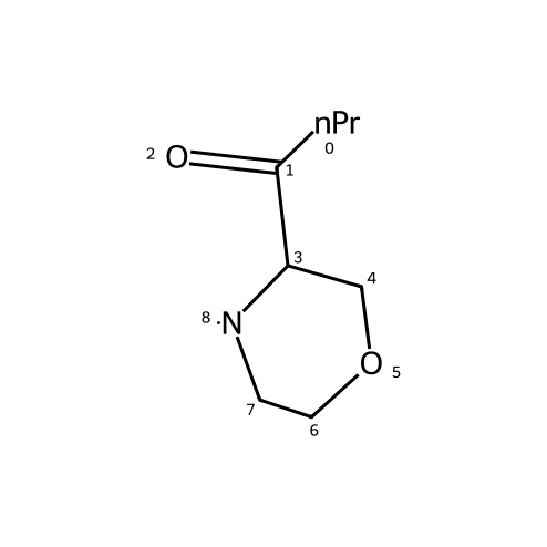 CCCC(=O)C1COCC[N]1